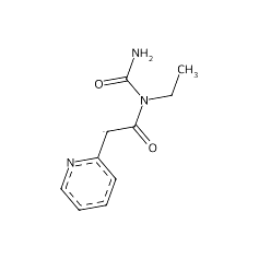 CCN(C(N)=O)C(=O)[CH]c1ccccn1